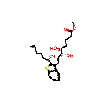 CCCCC[C@@H](O)c1sc2ccccc2c1/C=C/[C@@H](O)[C@@H](O)CCCC(=O)OC